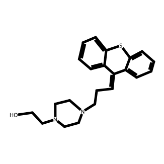 OCCN1CCN(CCC=C2c3ccccc3Sc3ccccc32)CC1